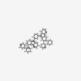 c1ccc(-c2ccccc2-c2ccc3c(c2)c2ncccc2n3-c2cccc(-n3c4ccc(-c5cnccc5-c5ccccn5)cc4c4ncccc43)c2)nc1